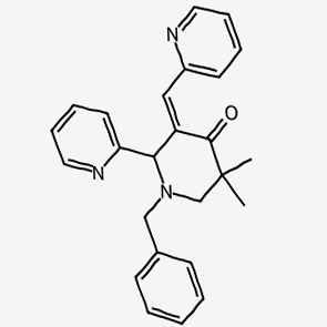 CC1(C)CN(Cc2ccccc2)C(c2ccccn2)C(=Cc2ccccn2)C1=O